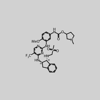 COc1ccc(NC(=O)OC2CCN(C)C2)cc1Nc1ncc(C(F)(F)F)c(N[C@@H]2Cc3ccccc3[C@H]2NCS(C)(=O)=O)n1